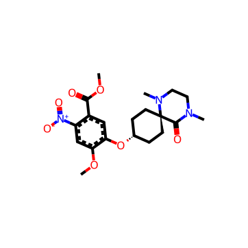 COC(=O)c1cc(O[C@H]2CC[C@]3(CC2)C(=O)N(C)CCN3C)c(OC)cc1[N+](=O)[O-]